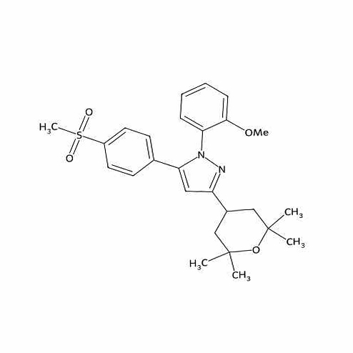 COc1ccccc1-n1nc(C2CC(C)(C)OC(C)(C)C2)cc1-c1ccc(S(C)(=O)=O)cc1